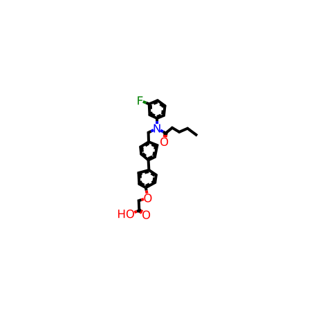 CCCCC(=O)N(Cc1ccc(-c2ccc(OCC(=O)O)cc2)cc1)c1cccc(F)c1